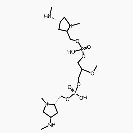 CN[C@@H]1C[C@@H](COP(=O)(O)OCC(COP(=O)(O)OCC2C[C@H](NC)CN2C)OC)N(C)C1